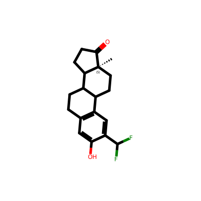 C[C@]12CCC3c4cc(C(F)F)c(O)cc4CCC3C1CCC2=O